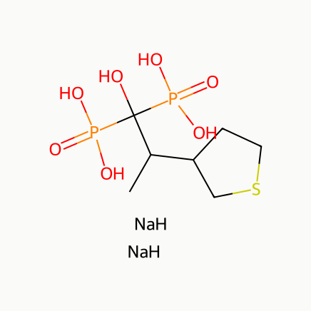 CC(C1CCSC1)C(O)(P(=O)(O)O)P(=O)(O)O.[NaH].[NaH]